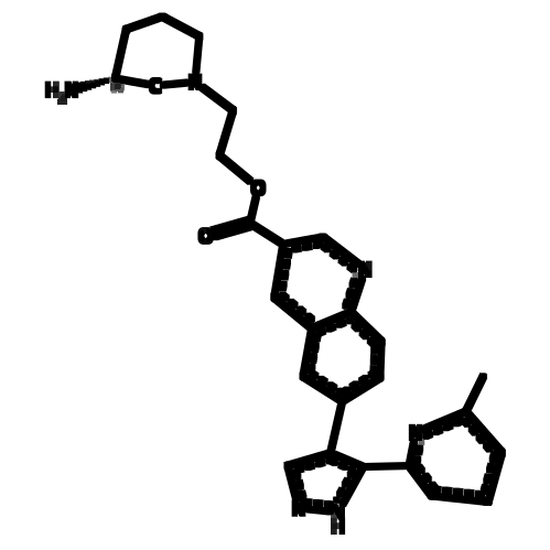 Cc1cccc(-c2[nH]ncc2-c2ccc3ncc(C(=O)OCCN4CCC[C@@H](N)C4)cc3c2)n1